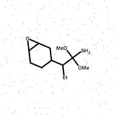 CCC(C1CCC2OC2C1)C([SiH3])(OC)OC